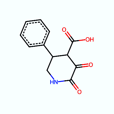 O=C1NCC(c2ccccc2)C(C(=O)O)C1=O